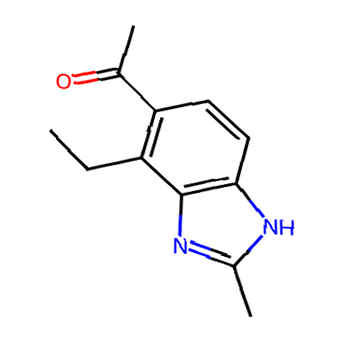 CCc1c(C(C)=O)ccc2[nH]c(C)nc12